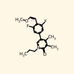 CCCn1cc(-c2cc(F)c(/C=C\OC)c(F)c2)c(C)c(C)c1=O